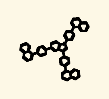 c1ccc2c(-c3ccc(-c4ccc5c(c4)c(-c4ccc(-c6cccc7ccccc67)cc4)cn5-c4ccc(-c5cccc6ccccc56)cc4)cc3)cccc2c1